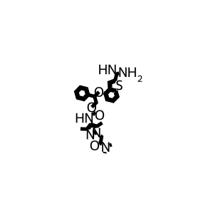 Cc1nn(CC(=O)N(C)C)c(C)c1NC(=O)OCC(Oc1cccc2sc(C(=N)N)cc12)c1ccccc1